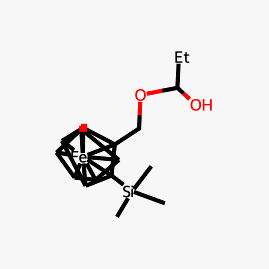 CCC(O)OC[C]12[CH]3[CH]4[CH]5[C]1([Si](C)(C)C)[Fe]43521678[CH]2[CH]1[CH]6[CH]7[CH]28